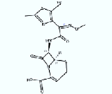 CO/N=C(\C(=O)N[C@@H]1C(=O)N2C(C(=O)O)=CCS[C@H]12)c1nc(C)sc1[18F]